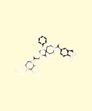 O=C(CN1CN(c2ccccc2)C2(CCN(C(=O)c3ccc4[nH]ncc4c3)CC2)C1=O)N1CCN(C(=O)O)[C@@H](C(F)(F)F)C1